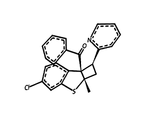 C[C@]12C[C@H](c3ccccn3)[C@@]1(C(=O)c1ccccc1)c1ccc(Cl)cc1S2